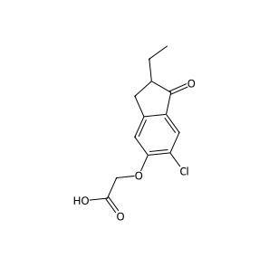 CCC1Cc2cc(OCC(=O)O)c(Cl)cc2C1=O